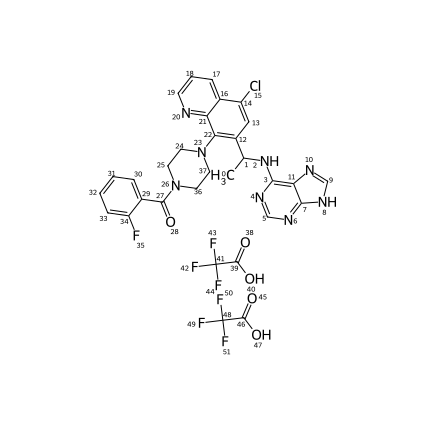 CC(Nc1ncnc2[nH]cnc12)c1cc(Cl)c2cccnc2c1N1CCN(C(=O)c2ccccc2F)CC1.O=C(O)C(F)(F)F.O=C(O)C(F)(F)F